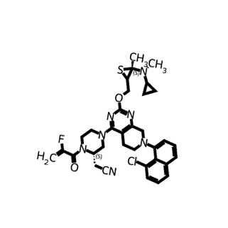 C=C(F)C(=O)N1CCN(c2nc(OCC3S[C@]3(C)N(C)C3CC3)nc3c2CCN(c2cccc4cccc(Cl)c24)C3)C[C@@H]1CC#N